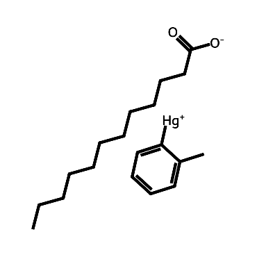 CCCCCCCCCCCC(=O)[O-].Cc1cccc[c]1[Hg+]